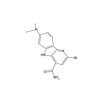 CN(C)c1ccc2c(c1)[nH]c1c(C(N)=O)cc(Br)nc12